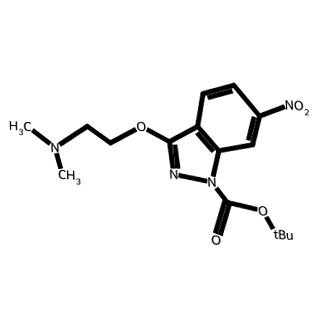 CN(C)CCOc1nn(C(=O)OC(C)(C)C)c2cc([N+](=O)[O-])ccc12